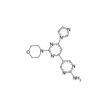 Nc1ncc(-c2cc(-n3ccnc3)nc(N3CCOCC3)n2)cn1